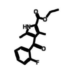 CCOC(=O)c1[nH]c(C)c(C(=O)c2ccccc2F)c1C